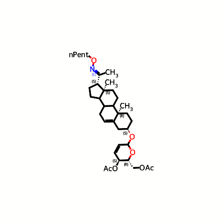 CCCCCO/N=C(\C)[C@H]1CCC2C3CC=C4C[C@@H](OC5C=C[C@H](OC(C)=O)[C@@H](COC(C)=O)O5)CC[C@]4(C)C3CC[C@@]21C